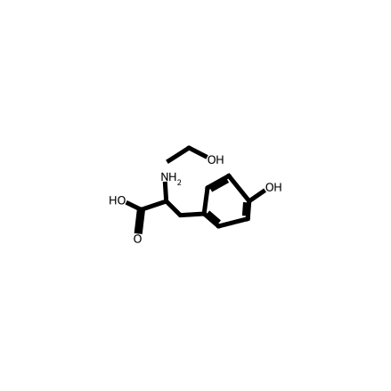 CCO.NC(Cc1ccc(O)cc1)C(=O)O